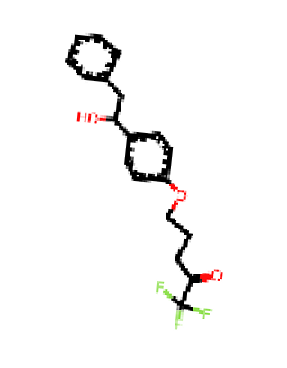 O=C(CCCOc1ccc(C(O)Cc2ccccc2)cc1)C(F)(F)F